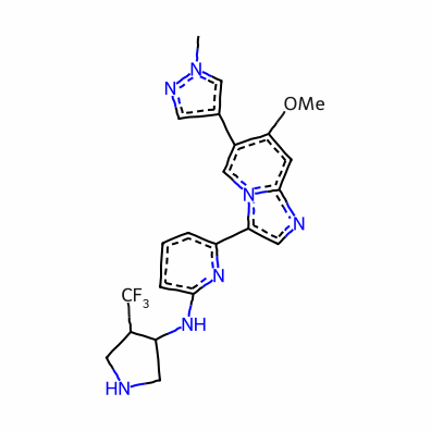 COc1cc2ncc(-c3cccc(NC4CNCC4C(F)(F)F)n3)n2cc1-c1cnn(C)c1